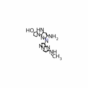 CCNc1ccn2ncc(/N=C3\N=C(N4CCC(O)C4)C(=N)C=C3N)c2n1